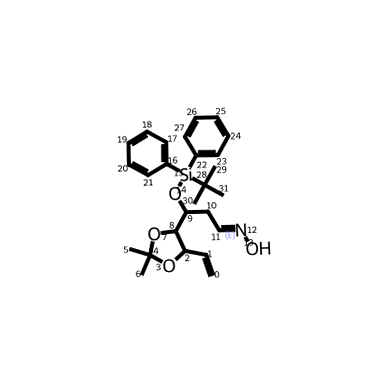 C=CC1OC(C)(C)OC1C(C/C=N/O)O[Si](c1ccccc1)(c1ccccc1)C(C)(C)C